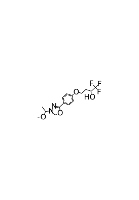 COC(C)N1COC(c2ccc(OCC[C@@H](O)C(F)(F)F)cc2)=N1